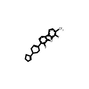 Fc1c(C2=CCC(C3=CCCC3)CC2)ccc2c1oc1c(F)c(C(F)(F)F)ccc12